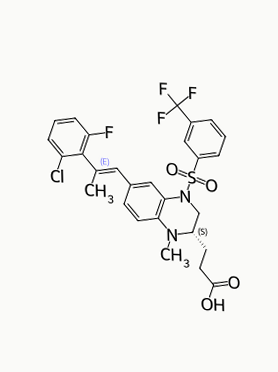 C/C(=C\c1ccc2c(c1)N(S(=O)(=O)c1cccc(C(F)(F)F)c1)C[C@H](CCC(=O)O)N2C)c1c(F)cccc1Cl